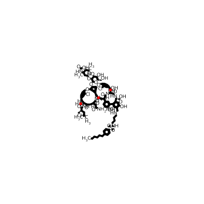 CCCCCCc1ccc(S(=O)(=O)NCCCCNCc2c(O)cc3c(c2O)-c2cc(ccc2O)[C@H]2CC(=O)[C@@H]4NC(=O)[C@H](CC(N)=O)CC(=O)[C@H](NC(=O)[C@H](CC)CC(C)C)[C@H](O)c5ccc(c(Cl)c5)Oc5cc4cc(c5O[C@@H]4O[C@H](CO)[C@@H](O)[C@H](O)[C@H]4O[C@H]4C[C@]5(C)NC(=O)O[C@@H]5[C@H](C)O4)Oc4ccc(cc4Cl)[C@@H](O)[C@H](NC2=O)C(=O)N[C@@H]3C(=O)O)cc1